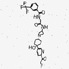 O=C(CNC(=O)c1cccc(C(F)(F)F)c1)NC1CN([C@H]2CC[C@@](O)(c3ccc(C(=O)CF)nc3)CC2)C1